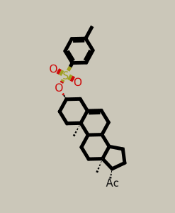 CC(=O)[C@H]1CCC2C3CC=C4C[C@@H](OS(=O)(=O)c5ccc(C)cc5)CC[C@]4(C)C3CC[C@@]21C